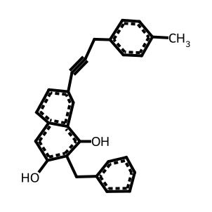 Cc1ccc(CC#Cc2ccc3cc(O)c(Cc4ccccc4)c(O)c3c2)cc1